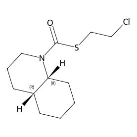 O=C(SCCCl)N1CCC[C@H]2CCCC[C@H]21